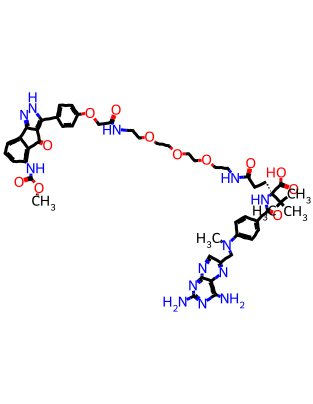 COC(=O)Nc1cccc2c1C(=O)c1c-2n[nH]c1-c1ccc(OCC(=O)NCCOCCOCCOCCNC(=O)CC[C@](NC(=O)c2ccc(N(C)Cc3cnc4nc(N)nc(N)c4n3)cc2)(C(=O)O)C(C)(C)C)cc1